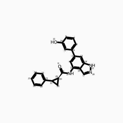 O=C(Nc1cc(-c2cccc(O)c2)cc2[nH]ncc12)[C@H]1CC1c1ccccc1